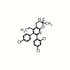 CCc1c2c(nc(-c3ccc(Cl)cc3Cl)c1-c1ccc(Cl)cc1)OC(C)(C)C[C]2